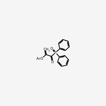 C=C(OC(C)=O)C(=O)P(=O)(c1ccccc1)c1ccccc1